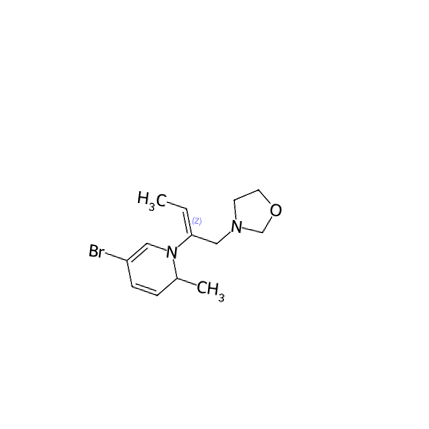 C/C=C(/CN1CCOC1)N1C=C(Br)C=CC1C